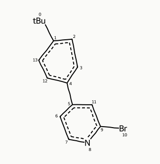 CC(C)(C)c1ccc(-c2ccnc(Br)c2)cc1